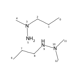 CCCN(C)N.CCCNN(C)C